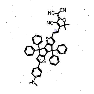 CN(C)c1ccc(-c2cc3c(s2)C2=C(c4sc(/C=C/C5=C(C#N)C(=C(C#N)C#N)OC5(C)C)cc4C2(c2ccccc2)c2ccccc2)C3(c2ccccc2)c2ccccc2)cc1